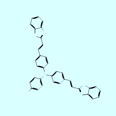 O=C(O)c1ccc(N(c2ccc(C=Cc3nc4ccccc4s3)cc2)c2ccc(C=Cc3nc4ccccc4s3)cc2)cc1